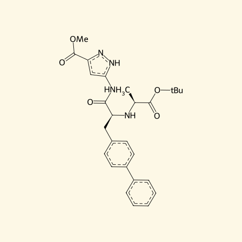 COC(=O)c1cc(NC(=O)[C@H](Cc2ccc(-c3ccccc3)cc2)N[C@@H](C)C(=O)OC(C)(C)C)[nH]n1